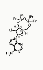 CC(C)[Si]1(C(C)C)OC[C@H]2O[C@@H](n3cnc4c(N)ncnc43)C(Cl)[C@H]2O[Si](C(C)C)(C(C)C)O1